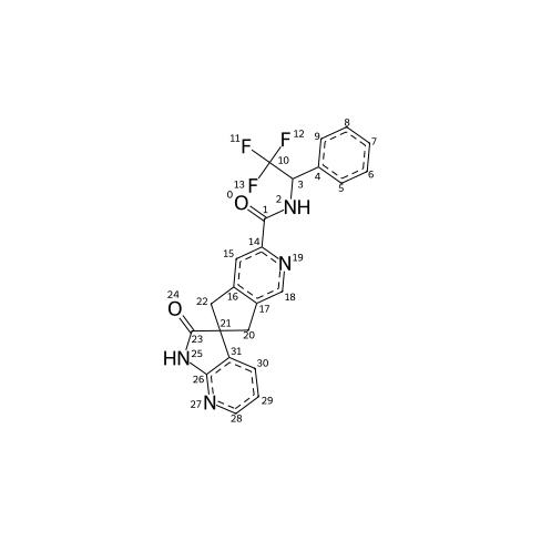 O=C(NC(c1ccccc1)C(F)(F)F)c1cc2c(cn1)CC1(C2)C(=O)Nc2ncccc21